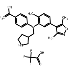 C=C(C#N)c1ccc(N(CC2CCNC2)c2cc(-c3c(C)noc3C)ccc2C)cc1.O=C(O)C(F)(F)F